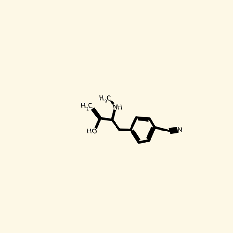 C=C(O)C(Cc1ccc(C#N)cc1)NC